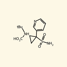 CC(C)(C)NC(=O)O.NS(=O)(=O)C1(c2cccnc2)CC1